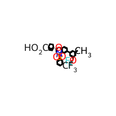 Cc1cc(OC(F)F)cc(-c2ccc3c(c2)N(S(=O)(=O)c2cccc(C(F)(F)F)c2)C[C@H](C24CCC(C(=O)O)(CC2)C4)O3)c1